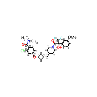 COc1cccc([C@@](O)(C(=O)N2CCC(C[C@H]3C[C@@H](Oc4ccc(C(=O)N(C)C)c(Cl)c4)C3)CC2)C(F)F)c1